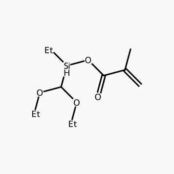 C=C(C)C(=O)O[SiH](CC)C(OCC)OCC